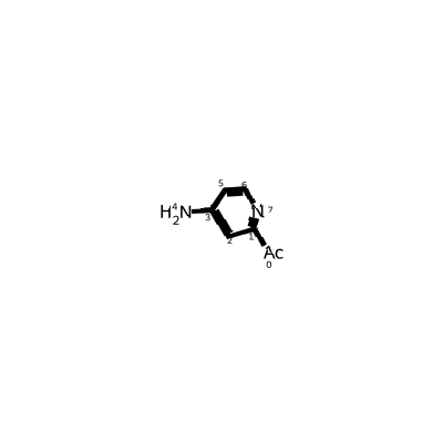 CC(=O)c1cc(N)ccn1